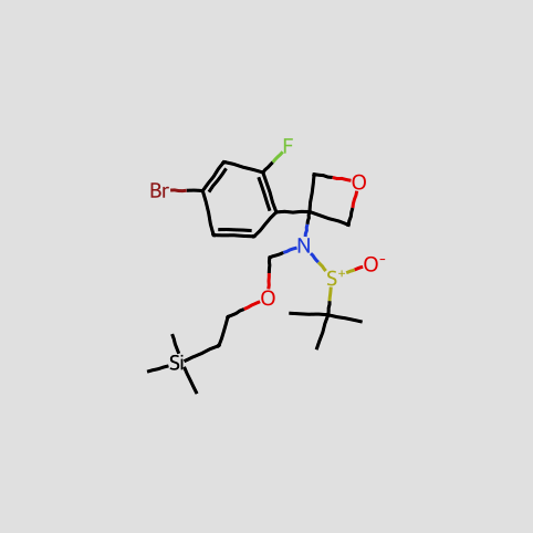 CC(C)(C)[S+]([O-])N(COCC[Si](C)(C)C)C1(c2ccc(Br)cc2F)COC1